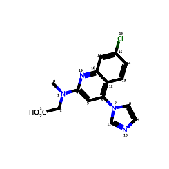 CN(CC(=O)O)c1cc(-n2ccnc2)c2ccc(Cl)cc2n1